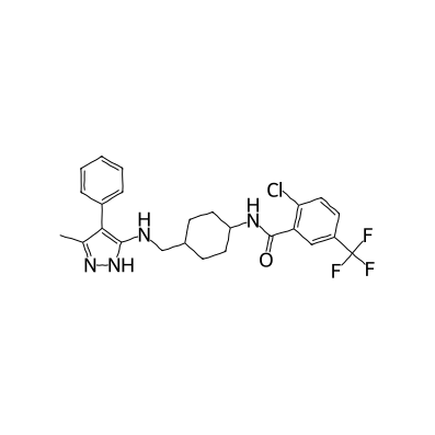 Cc1n[nH]c(NCC2CCC(NC(=O)c3cc(C(F)(F)F)ccc3Cl)CC2)c1-c1ccccc1